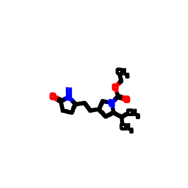 CCOC(=O)N1CC(CCC2CCC(=O)N2)CC1C(C)C